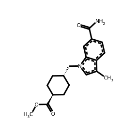 COC(=O)[C@H]1CC[C@H](Cn2cc(C)c3ccc(C(N)=O)cc32)CC1